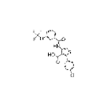 O=C(Nc1csc(-c2ccc(Cl)cc2)c1C(=O)O)c1cccc(OC(F)(F)F)c1